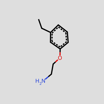 CCc1cccc(OCCN)c1